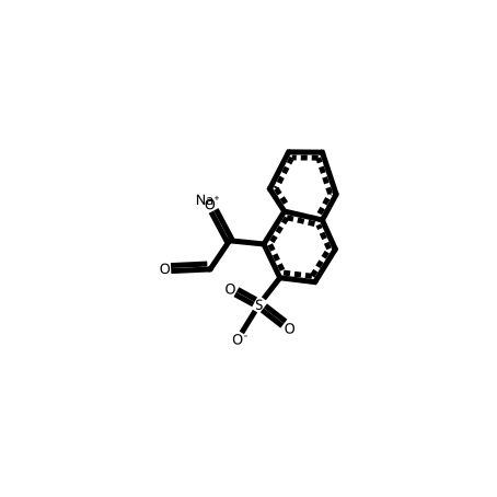 O=CC(=O)c1c(S(=O)(=O)[O-])ccc2ccccc12.[Na+]